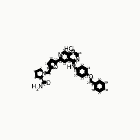 Cl.NC(=O)[C@H]1CCCN1Cc1ccc(-c2cc3c(Nc4ccc(OCc5ccccc5)cc4)ncnc3cn2)o1